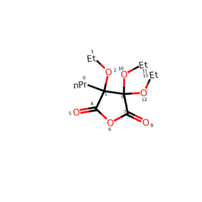 CCCC1(OCC)C(=O)OC(=O)C1(OCC)OCC